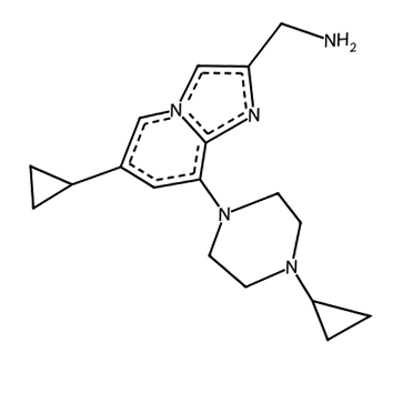 NCc1cn2cc(C3CC3)cc(N3CCN(C4CC4)CC3)c2n1